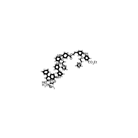 CCOC(=O)c1ccc(Nc2ccc(CCOC(=O)c3ccc(Nc4cccc(Nc5cccc(-c6cccc(Nc7ccc8c(c7OCCN(C)C)NC(O)C=C8c7ccccc7)c6)c5)c4OCCn4cncn4)cc3)cc2OCCn2cncn2)cc1